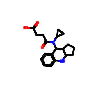 O=C(O)CCC(=O)N(C1CC1)C1c2ccccc2NC2CCCC21